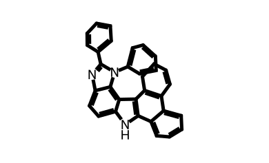 C1=Cc2c(c3c([nH]c4ccc5nc(-c6ccccc6)n(-c6ccccc6)c5c43)c3ccccc23)CC1